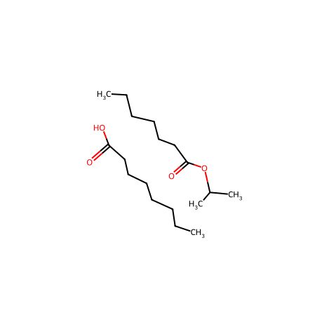 CCCCCCC(=O)OC(C)C.CCCCCCCC(=O)O